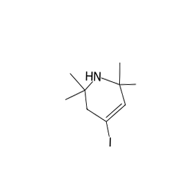 CC1(C)C=C(I)CC(C)(C)N1